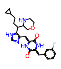 O=c1[nH]/c(=C\c2nc[nH]c2C(CCC2CC2)C2COCCN2)c(=O)[nH]/c1=C\c1cccc(F)c1